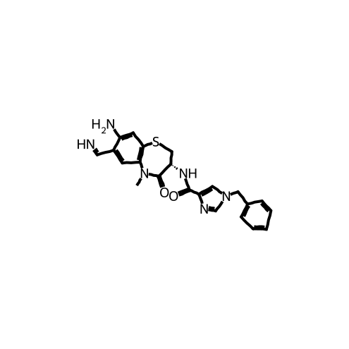 CN1C(=O)[C@@H](NC(=O)c2cn(Cc3ccccc3)cn2)CSc2cc(N)c(C=N)cc21